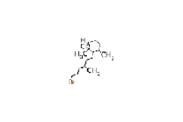 CC1=C(CC/C(C)=C/CCBr)C(C)(C)CCC1